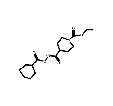 CCOC(=O)N1CCC(C(=O)NOC(=O)C2CCCCC2)CC1